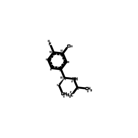 CC(C)N[C@H](CO)c1ccc(F)c(Cl)c1